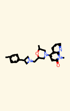 Cc1ccc(C2CN(CC3CN(c4cc(=O)n(C)c5ncccc45)CC(C)O3)C2)cc1